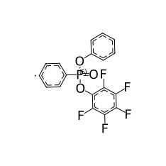 O=[P@@](Oc1ccccc1)(Oc1c(F)c(F)c(F)c(F)c1F)c1cc[c]cc1